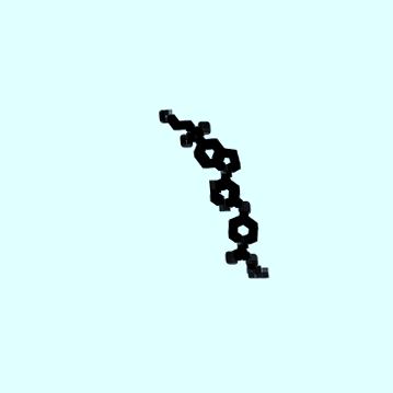 CC(C)(C)OC(=O)N1CCC(Oc2cc(N3CCc4cc(S(=O)(=O)CCCl)ccc43)ncn2)CC1